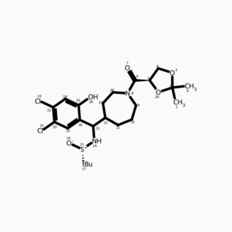 CC1(C)OC[C@H](C(=O)N2CCCC(C(N[S@@+]([O-])C(C)(C)C)c3cc(Cl)c(Cl)cc3O)CC2)O1